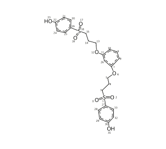 O=S(=O)(CCCOc1cccc(OCCCS(=O)(=O)c2ccc(O)cc2)c1)c1ccc(O)cc1